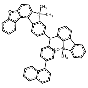 C[Si]1(C)c2cc(N(c3ccc(-c4cccc5ccccc45)cc3)c3cccc4c3[Si](C)(C)c3ccccc3-4)ccc2-c2c1ccc1oc3ccccc3c21